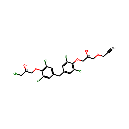 C#CCOC[C@H](O)COc1c(Cl)cc(Cc2cc(Cl)c(OC[C@H](O)CCl)c(Cl)c2)cc1Cl